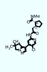 CNC(=O)[C@@H]1CCC[C@H]1CC(=O)Nc1cc(-c2cnn3c2CC(C)(C)C3)c(Cl)cn1